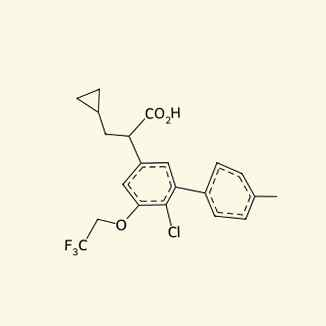 Cc1ccc(-c2cc(C(CC3CC3)C(=O)O)cc(OCC(F)(F)F)c2Cl)cc1